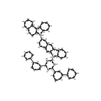 c1ccc(-c2cccc(-c3nc(-c4cccc(-c5ccccc5)c4)nc(-n4c5ccccc5c5cc6cc(-n7c8ccccc8c8c9ccccc9ccc87)ccc6cc54)n3)c2)cc1